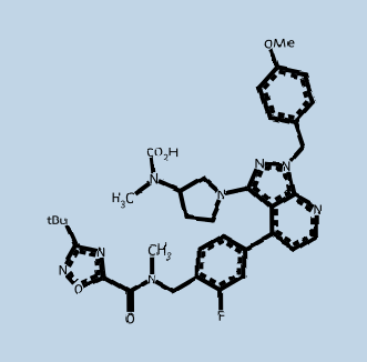 COc1ccc(Cn2nc(N3CCC(N(C)C(=O)O)C3)c3c(-c4ccc(CN(C)C(=O)c5nc(C(C)(C)C)no5)c(F)c4)ccnc32)cc1